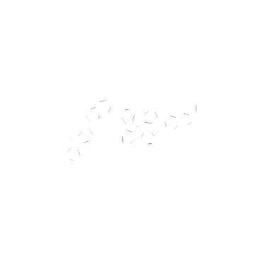 CC1(C)c2ccccc2-c2ccc(-c3ccc4ccc(Cc5ccc6c(c5)-c5ccc(-c7ccc8ccc(I)cc8c7)cc5C6(c5ccccc5)c5ccccc5)cc4c3)cc21